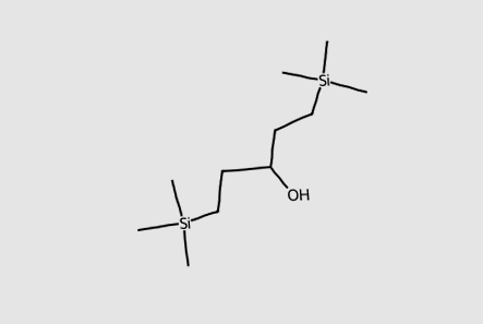 C[Si](C)(C)CCC(O)CC[Si](C)(C)C